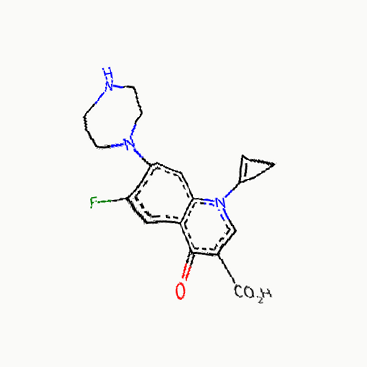 O=C(O)c1cn(C2=CC2)c2cc(N3CCNCC3)c(F)cc2c1=O